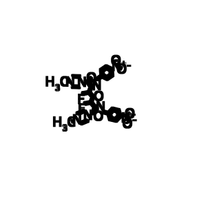 CN1CCN(c2oc(-c3ccc([N+](=O)[O-])cc3)nc2C(CF)C(=O)C(CF)c2nc(-c3ccc([N+](=O)[O-])cc3)oc2N2CCN(C)CC2)CC1